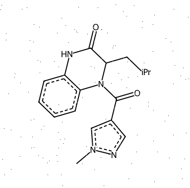 CC(C)CC1C(=O)Nc2ccccc2N1C(=O)c1cnn(C)c1